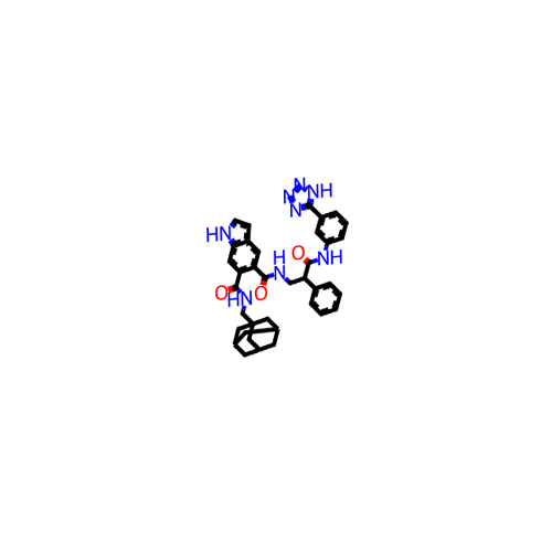 O=C(NCC(C(=O)Nc1cccc(-c2nnn[nH]2)c1)c1ccccc1)c1cc2cc[nH]c2cc1C(=O)NCC12CC3CC(CC(C3)C1)C2